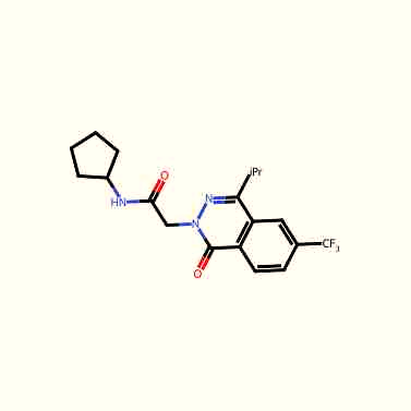 CC(C)c1nn(CC(=O)NC2CCCC2)c(=O)c2ccc(C(F)(F)F)cc12